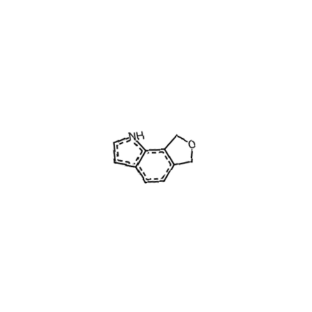 c1cc2ccc3c(c2[nH]1)COC3